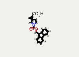 O=C(O)C1CC12CCN(C(=O)OCC1c3ccccc3-c3ccccc31)C2